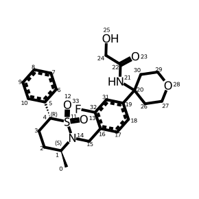 C[C@H]1CC[C@H](c2ccccc2)S(=O)(=O)N1Cc1ccc(C2(NC(=O)CO)CCOCC2)cc1F